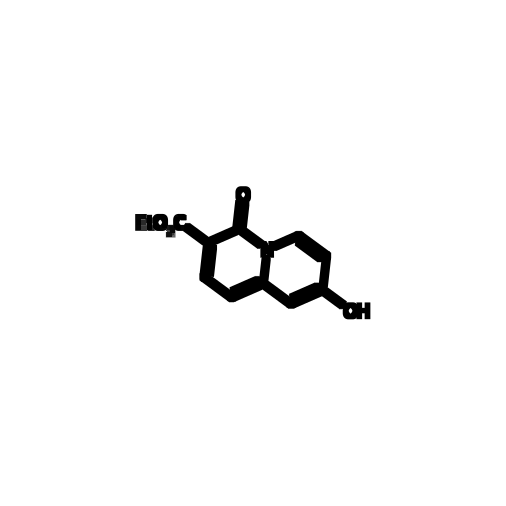 CCOC(=O)c1ccc2cc(O)ccn2c1=O